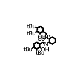 CC(C)(C)c1ccc(C=[N+][C@@H]2CCCC[C@H]2[N+]([Co])=Cc2ccc(C(C)(C)C)c(C(C)(C)C)c2O)c(O)c1C(C)(C)C